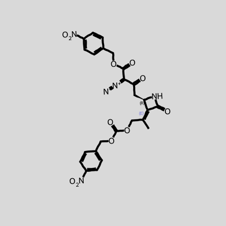 C/C(COC(=O)OCc1ccc([N+](=O)[O-])cc1)=C1\C(=O)N[C@@H]1CC(=O)C(=[N+]=[N-])C(=O)OCc1ccc([N+](=O)[O-])cc1